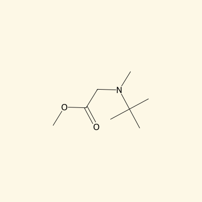 COC(=O)CN(C)C(C)(C)C